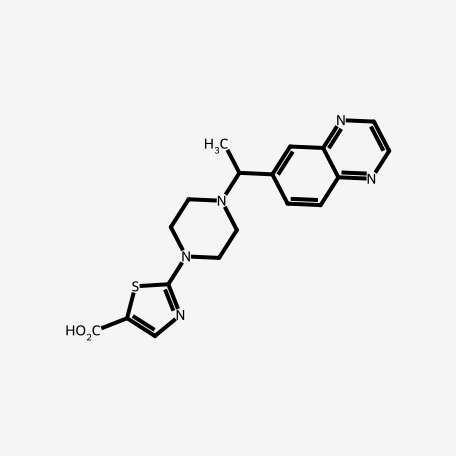 CC(c1ccc2nccnc2c1)N1CCN(c2ncc(C(=O)O)s2)CC1